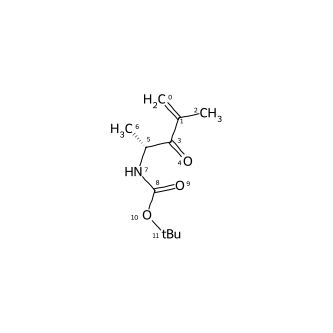 C=C(C)C(=O)[C@@H](C)NC(=O)OC(C)(C)C